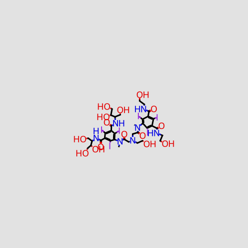 CN(C(=O)CN(CCO)CC(=O)N(C)c1c(I)c(C(=O)NC(CO)C(O)CO)c(I)c(C(=O)NC(CO)C(O)CO)c1I)c1c(I)c(C(=O)NCCO)c(I)c(C(=O)NCCO)c1I